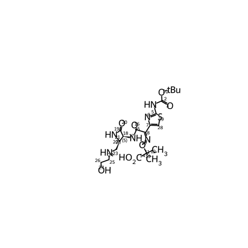 CC(C)(C)OC(=O)Nc1nc(C(=NOC(C)(C)C(=O)O)C(=O)N[C@@H]2C(=O)N[C@@H]2CNCCO)cs1